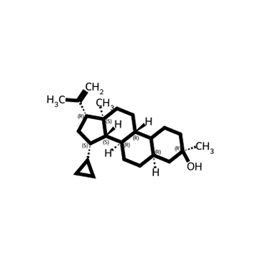 C=C(C)[C@H]1C[C@@H](C2CC2)[C@H]2[C@@H]3CC[C@@H]4C[C@](C)(O)CCC4[C@H]3CC[C@@]21C